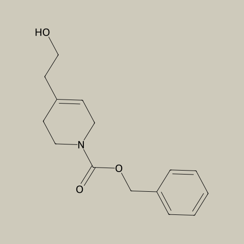 O=C(OCc1ccccc1)N1CC=C(CCO)CC1